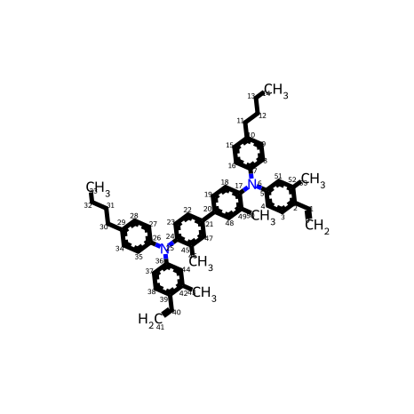 C=Cc1ccc(N(c2ccc(CCCC)cc2)c2ccc(-c3ccc(N(c4ccc(CCCC)cc4)c4ccc(C=C)c(C)c4)c(C)c3)cc2C)cc1C